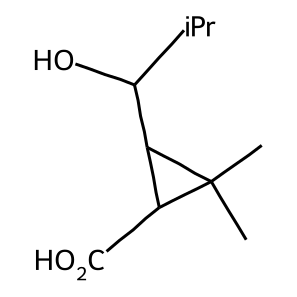 CC(C)C(O)C1C(C(=O)O)C1(C)C